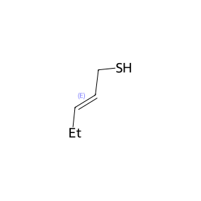 CC/C=C/CS